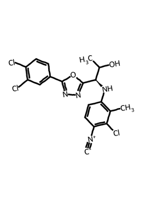 [C-]#[N+]c1ccc(N[C@@H](c2nnc(-c3ccc(Cl)c(Cl)c3)o2)C(C)O)c(C)c1Cl